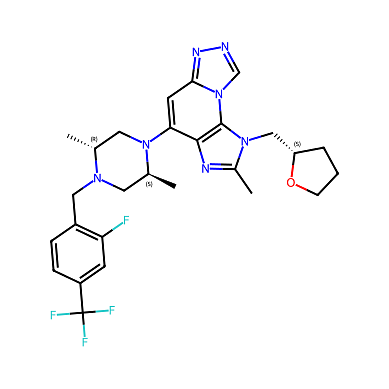 Cc1nc2c(N3C[C@@H](C)N(Cc4ccc(C(F)(F)F)cc4F)C[C@@H]3C)cc3nncn3c2n1C[C@@H]1CCCO1